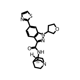 O=C(N[C@@H]1CN2CCC1CC2)c1nn(C2CCOC2)c2cc(-c3nccs3)ccc12